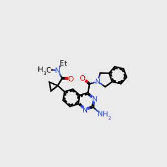 CCN(C)C(=O)C1(c2ccc3nc(N)nc(C(=O)N4Cc5ccccc5C4)c3c2)CC1